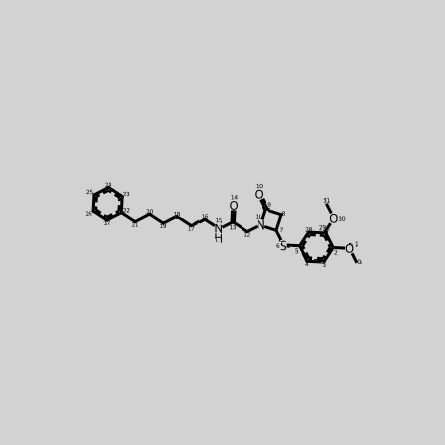 COc1ccc(SC2CC(=O)N2CC(=O)NCCCCCCc2ccccc2)cc1OC